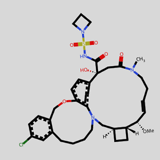 CO[C@H]1/C=C/CCN(C)C(=O)C[C@](O)(C(=O)NS(=O)(=O)N2CCC2)c2ccc3c(c2)N(CCCCc2cc(Cl)ccc2CO3)C[C@@H]2CC[C@H]21